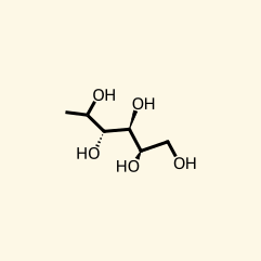 CC(O)[C@@H](O)[C@@H](O)[C@H](O)CO